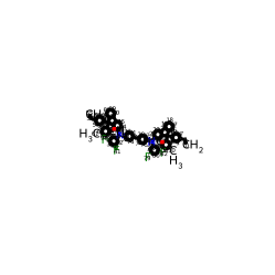 C=Cc1ccc(C2(c3cc(C)ccc3C)c3ccccc3-c3ccc(N(c4ccc(-c5ccc(N(c6cc(F)cc(F)c6)c6ccc7c(c6)C(c6ccc(C=C)cc6)(c6cc(C)ccc6C)c6ccccc6-7)cc5)cc4)c4cc(F)cc(F)c4)cc32)cc1